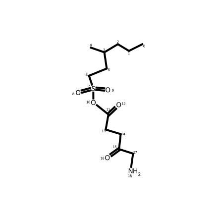 CCCC(C)CCS(=O)(=O)OC(=O)CCC(=O)CN